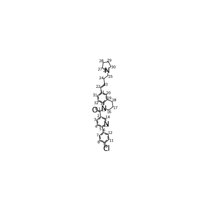 O=C(c1ccc(-c2ccc(Cl)cc2)nc1)N1CCCc2cc(C=CCCN3CCCC3)ccc21